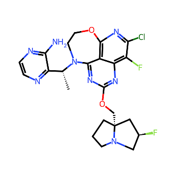 C[C@H](c1nccnc1N)N1CCOc2nc(Cl)c(F)c3nc(OC[C@@]45CCCN4C[C@H](F)C5)nc1c23